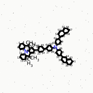 CC1(C)c2ccccc2N2c3ccccc3C(C)(C)c3cc(-c4ccc(-c5ccc(N(c6ccc(-c7ccc8ccccc8c7)cc6)c6ccc(-c7ccc8ccccc8c7)cc6)cc5)cc4)cc1c32